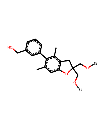 CCOCC1(COCC)Cc2c(cc(C)c(-c3cccc(CO)c3)c2C)O1